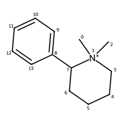 C[N+]1(C)CCCCC1c1ccccc1